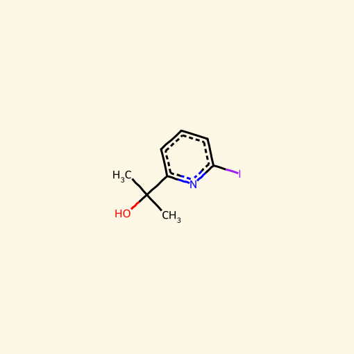 CC(C)(O)c1cccc(I)n1